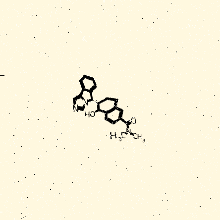 CN(C)C(=O)c1ccc2c(c1)CCC([C@H]1c3ccccc3-c3cncn31)C2O